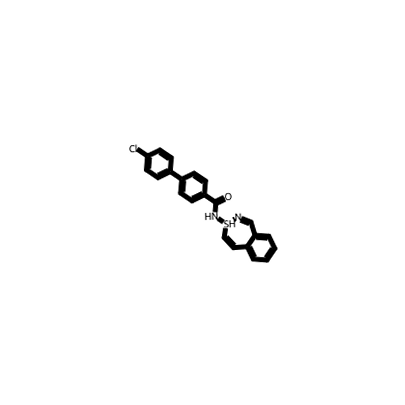 O=C(N[SH]1C=Cc2ccccc2C=N1)c1ccc(-c2ccc(Cl)cc2)cc1